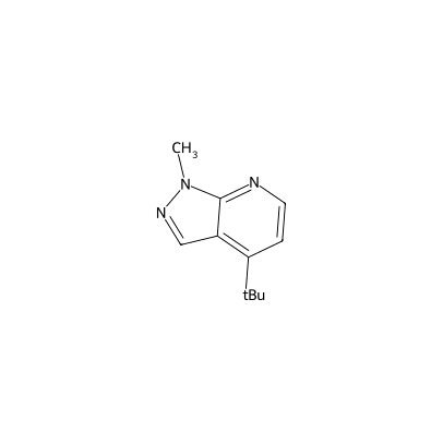 Cn1ncc2c(C(C)(C)C)ccnc21